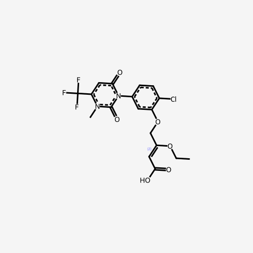 CCO/C(=C\C(=O)O)COc1cc(-n2c(=O)cc(C(F)(F)F)n(C)c2=O)ccc1Cl